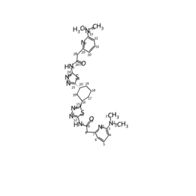 CN(C)c1cccc(CC(=O)Nc2nnc([C@@H]3CCC[C@@H](c4nnc(NC(=O)Cc5cccc(N(C)C)n5)s4)C3)s2)n1